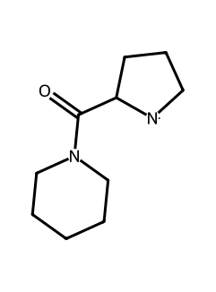 O=C(C1CCC[N]1)N1CCCCC1